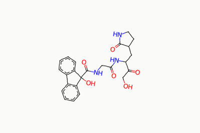 O=C(CNC(=O)C1(O)c2ccccc2-c2ccccc21)NC(CC1CCNC1=O)C(=O)CO